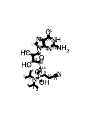 CC(C)N(C(C)C)[PH](O)(CCC#N)OC[C@H]1O[C@@H](n2cnc3c(=O)[nH]c(N)nc32)[C@H](O)[C@@H]1O